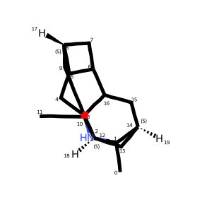 CC1NC23CC4C5C[C@@H]4CC(C)[C@@H]2C[C@H]1CC53